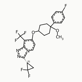 COC1(c2ccc(F)cc2)CCC(Oc2ccn3c([C@@H]4CC4(F)F)nnc3c2C(F)(F)F)CC1